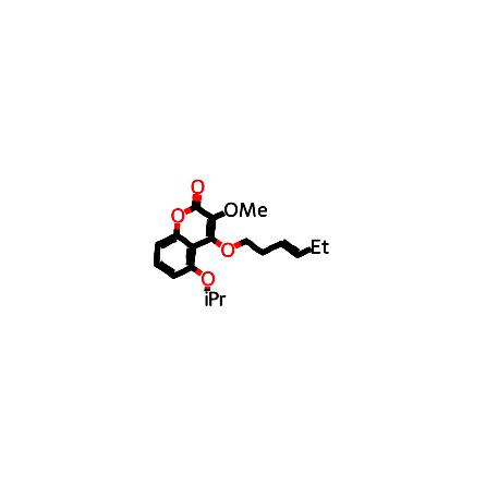 CC/C=C/CCOc1c(OC)c(=O)oc2cccc(OC(C)C)c12